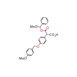 COc1ccc(COc2ccc(C(C(=O)O)C(=O)OC(OC)c3ccccc3)cc2)cc1